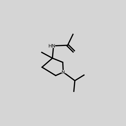 C=C(C)NC1(C)CCN(C(C)C)C1